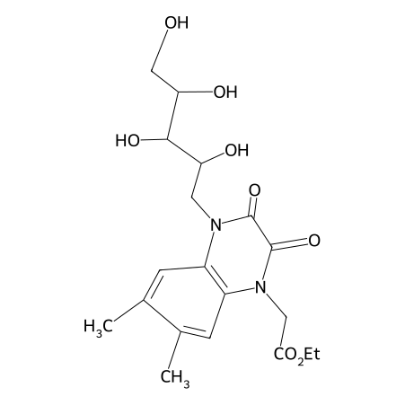 CCOC(=O)Cn1c(=O)c(=O)n(CC(O)C(O)C(O)CO)c2cc(C)c(C)cc21